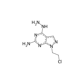 NNc1nc(N)nc2c1cnn2CCCl